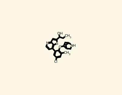 CCC(O)c1cc2nccc(-c3cc(Cl)cc(C)c3OC3CC4CC3CN4)c2s1